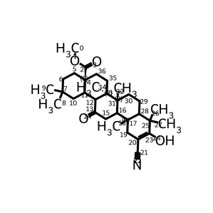 COC(=O)[C@]12CCC(C)(C)CC1C1C(=O)CC3[C@@]4(C)CC(C#N)=C(O)C(C)(C)C4CC[C@@]3(C)[C@]1(C)CC2